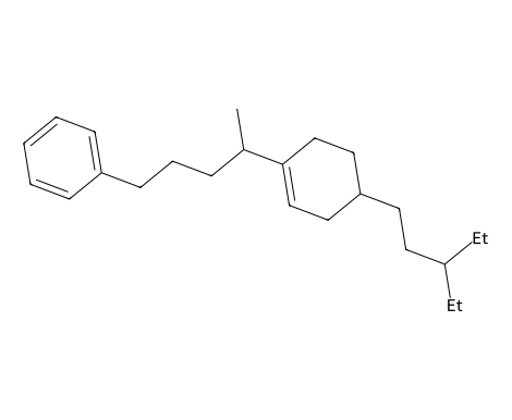 CCC(CC)CCC1CC=C(C(C)CCCc2ccccc2)CC1